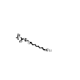 CCCCCCCCCCCCCCCCCCOCCNC(=O)C[N+](C)(C)CC